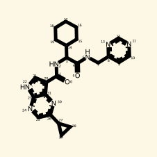 O=C(NC(C(=O)NCc1ccncn1)C1CCCCC1)c1c[nH]c2ncc(C3CC3)nc12